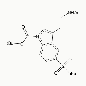 CCCCS(=O)(=O)c1ccc2c(c1)c(CCNC(C)=O)cn2C(=O)OC(C)(C)C